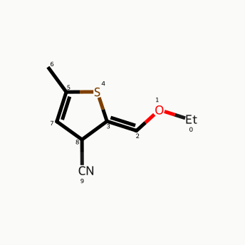 CCO/C=C1\SC(C)=CC1C#N